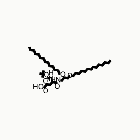 CCCCCCCCCCCCCCOCC(CNC(=O)C(CCC(=O)O)NC(=O)OC(C)(C)C)OCCCCCCCCCCCCCC